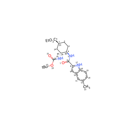 CCOC(=O)[C@H]1CC[C@@H](NC(=O)c2cc3cc(C)ccc3[nH]2)[C@H](NC(=O)OC(C)(C)C)C1